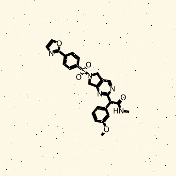 CNC(=O)C(c1cccc(OC)c1)c1ncc2c(n1)CN(S(=O)(=O)c1ccc(-c3ncco3)cc1)C2